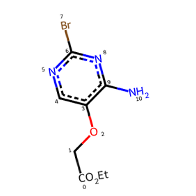 CCOC(=O)COc1cnc(Br)nc1N